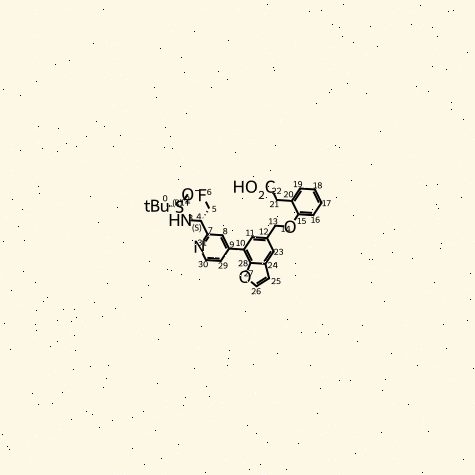 CC(C)(C)[S@+]([O-])N[C@H](CF)c1cc(-c2cc(COc3ccccc3CC(=O)O)cc3ccoc23)ccn1